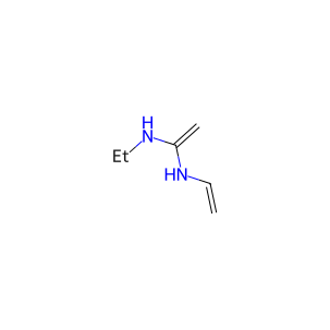 C=CNC(=C)NCC